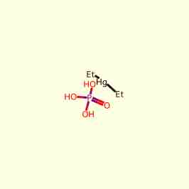 C[CH2][Hg][CH2]C.O=P(O)(O)O